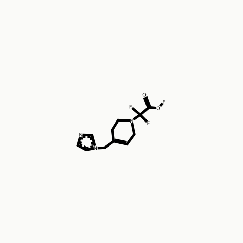 O=C(OF)C(F)(F)N1CC=C(Cn2ccnc2)CC1